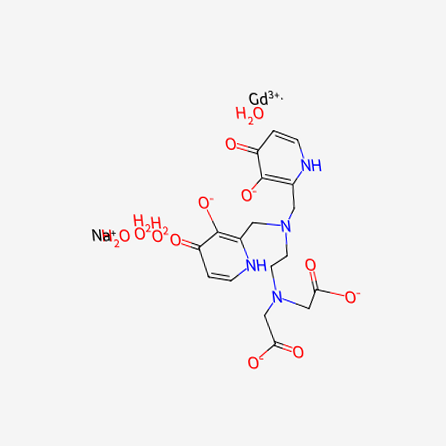 O.O.O.O.O=C([O-])CN(CCN(Cc1[nH]ccc(=O)c1[O-])Cc1[nH]ccc(=O)c1[O-])CC(=O)[O-].[Gd+3].[Na+]